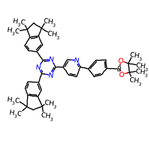 CC1(C)CC(C)(C)c2cc(-c3nc(-c4ccc(-c5ccc(B6OC(C)(C)C(C)(C)O6)cc5)nc4)nc(-c4ccc5c(c4)C(C)(C)CC5(C)C)n3)ccc21